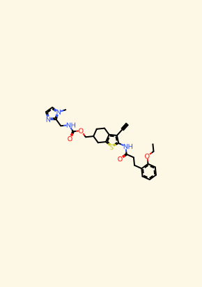 C#Cc1c(NC(=O)CCc2ccccc2OCC)sc2c1CCC(COC(=O)NCc1nccn1C)C2